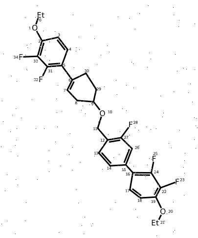 CCOc1ccc(C2=CCC(OCc3ccc(-c4ccc(OCC)c(F)c4F)cc3F)CC2)c(F)c1F